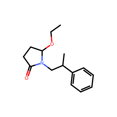 CCOC1CCC(=O)N1CC(C)c1ccccc1